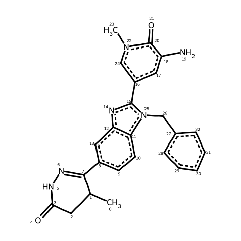 CC1CC(=O)NN=C1c1ccc2c(c1)nc(-c1cc(N)c(=O)n(C)c1)n2Cc1ccccc1